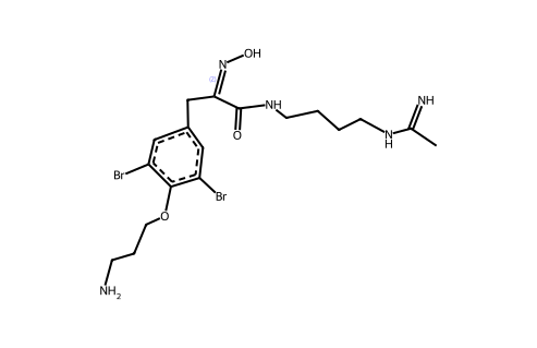 CC(=N)NCCCCNC(=O)/C(Cc1cc(Br)c(OCCCN)c(Br)c1)=N\O